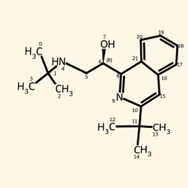 CC(C)(C)NC[C@@H](O)c1nc(C(C)(C)C)cc2ccccc12